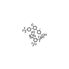 COc1ccc(-c2ccc(C(O)O)cc2C)cc1-c1ccc(C(F)(F)F)cc1[C@@H]1OC[C@@H]2C1=NO[C@@H]2c1cc(C(F)(F)F)cc(C(F)(F)F)c1